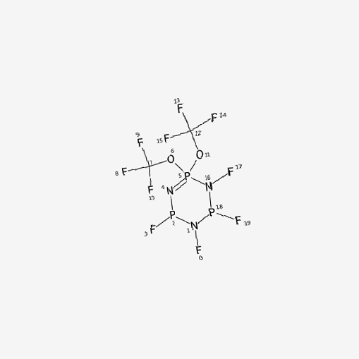 FN1P(F)N=P(OC(F)(F)F)(OC(F)(F)F)N(F)P1F